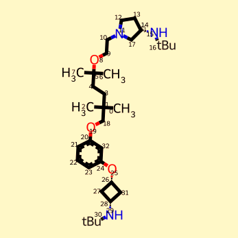 CC(C)(CCC(C)(C)OCCN1CC[C@H](NC(C)(C)C)C1)COc1cccc(O[C@H]2C[C@@H](NC(C)(C)C)C2)c1